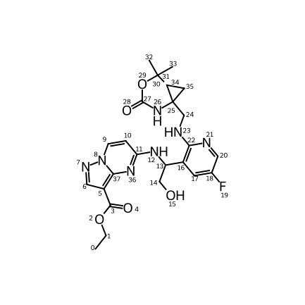 CCOC(=O)c1cnn2ccc(NC(CO)c3cc(F)cnc3NCC3(NC(=O)OC(C)(C)C)CC3)nc12